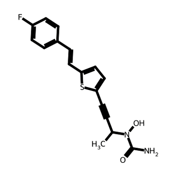 CC(C#Cc1ccc(C=Cc2ccc(F)cc2)s1)N(O)C(N)=O